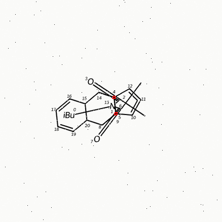 CCC(C)N1C(=O)C2C(C1=O)C1C3C=C=CC3C2C2C=CC=CC21